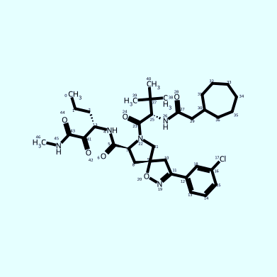 CCC[C@H](NC(=O)[C@@H]1C[C@]2(CC(c3cccc(Cl)c3)=NO2)CN1C(=O)[C@@H](NC(=O)CC1CCCCCC1)C(C)(C)C)C(=O)C(=O)NC